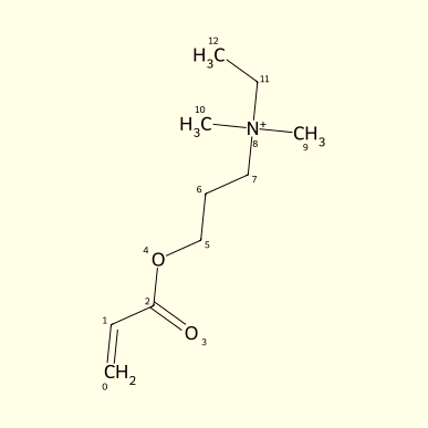 C=CC(=O)OCCC[N+](C)(C)CC